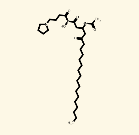 CCCCCCCCCCCCCCCCC(=O)CC(CC(=O)P(O)C(=O)CCCN1CCCC1)NC(C)=O